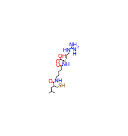 CC(C)CC(CS)C(=O)NCCCCC(=O)N[C@@H](CCCNC(=N)N)C(=O)O